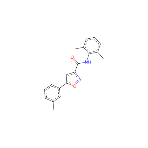 Cc1cccc(-c2cc(C(=O)Nc3c(C)cccc3C)no2)c1